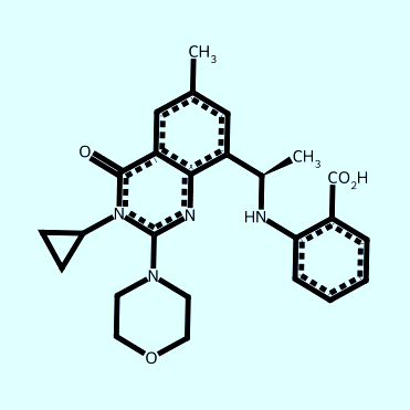 Cc1cc([C@@H](C)Nc2ccccc2C(=O)O)c2nc(N3CCOCC3)n(C3CC3)c(=O)c2c1